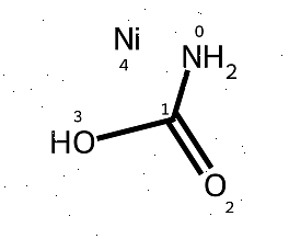 NC(=O)O.[Ni]